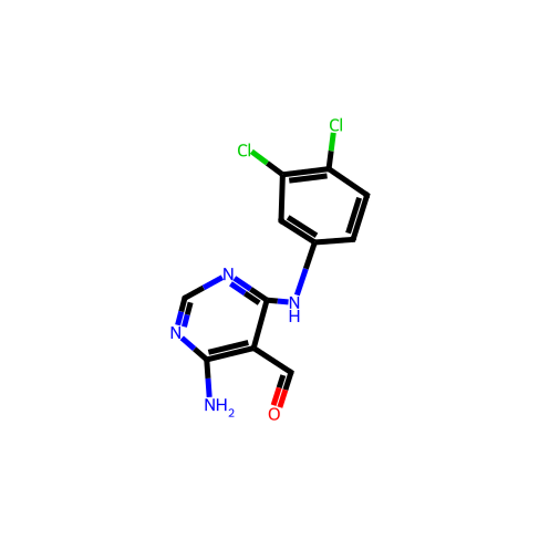 Nc1ncnc(Nc2ccc(Cl)c(Cl)c2)c1C=O